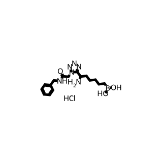 Cl.NC(CCCCCB(O)O)c1nnnn1CC(=O)NCc1ccccc1